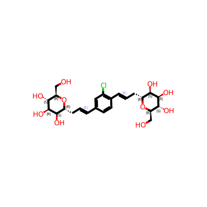 OC[C@H]1O[C@H](C/C=C/c2ccc(/C=C/C[C@H]3O[C@H](CO)[C@@H](O)[C@H](O)[C@@H]3O)c(Cl)c2)[C@@H](O)[C@@H](O)[C@@H]1O